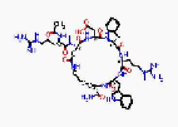 CC(=O)N[C@@H](CCCNC(=N)N)C(=O)N[C@H]1CC(=O)NCCCC[C@@H](C(N)=O)NC(=O)[C@H](Cc2c[nH]c3ccccc23)NC(=O)[C@H](CCCNC(=N)N)NC(=O)[C@@H](Cc2ccccc2)NC(=O)[C@H](CC(=O)O)NC1=O